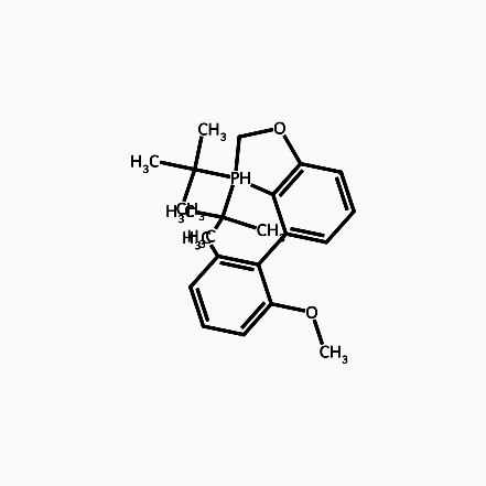 COc1cccc(C)c1-c1cccc2c1[PH](C(C)(C)C)(C(C)(C)C)CO2